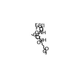 CCOC(=O)CCCCC(=O)Nc1ccc(OCC)c(C(=O)Nc2ccc(Cl)c(C(F)(F)F)c2)c1